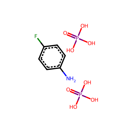 Nc1ccc(F)cc1.O=P(O)(O)O.O=P(O)(O)O